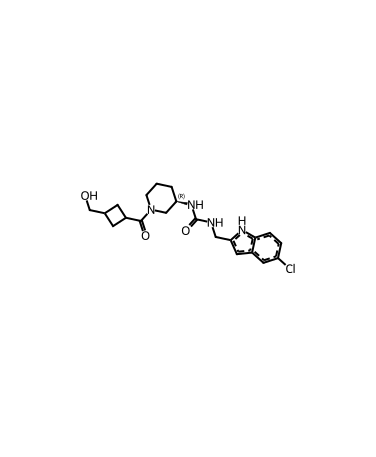 O=C(NCc1cc2cc(Cl)ccc2[nH]1)N[C@@H]1CCCN(C(=O)C2CC(CO)C2)C1